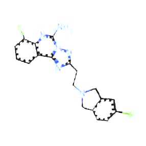 Nc1nc2c(F)cccc2c2nc(CCN3Cc4ccc(F)cc4C3)nn12